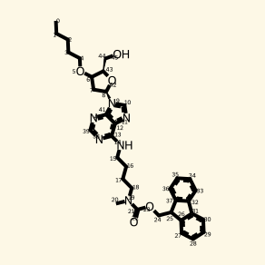 CCCCCOC1C[C@H](n2cnc3c(NCCCCN(C)C(=O)OCC4c5ccccc5-c5ccccc54)ncnc32)O[C@@H]1CO